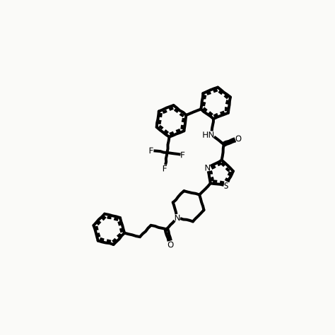 O=C(Nc1ccccc1-c1cccc(C(F)(F)F)c1)c1csc(C2CCN(C(=O)CCc3ccccc3)CC2)n1